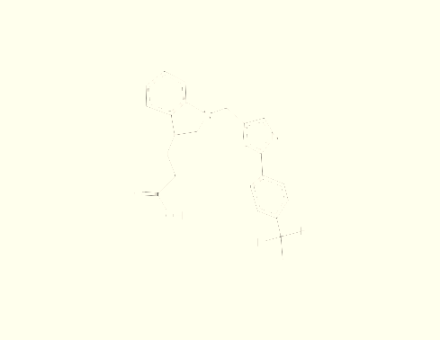 O=C(O)CCC1CN(Cc2cnc(-c3ccc(C(F)(F)F)cc3)s2)c2ccccc21